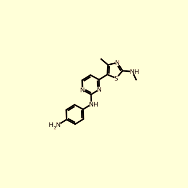 CNc1nc(C)c(-c2ccnc(Nc3ccc(N)cc3)n2)s1